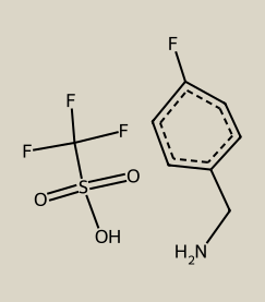 NCc1ccc(F)cc1.O=S(=O)(O)C(F)(F)F